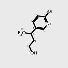 OCCC(c1ccc(Br)nc1)C(F)(F)F